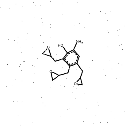 Nc1cc(CC2CO2)c(CC2CO2)c(CC2CO2)c1O